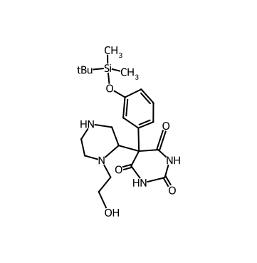 CC(C)(C)[Si](C)(C)Oc1cccc(C2(C3CNCCN3CCO)C(=O)NC(=O)NC2=O)c1